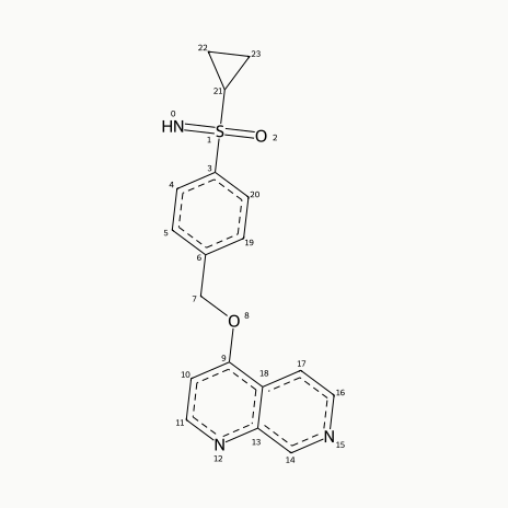 N=S(=O)(c1ccc(COc2ccnc3cnccc23)cc1)C1CC1